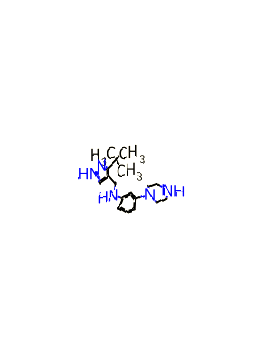 CC(C)(C)c1n[nH]cc1CNc1cccc(N2CCNCC2)c1